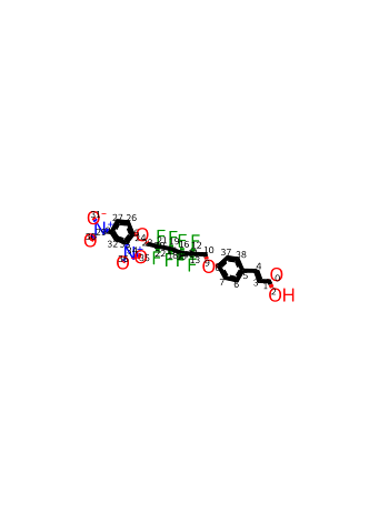 O=C(O)C=Cc1ccc(OCC(F)(F)C(F)(F)C(F)(F)C(F)(F)COc2ccc([N+](=O)[O-])cc2[N+](=O)[O-])cc1